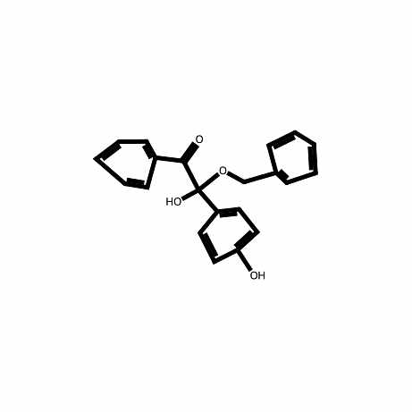 O=C(c1ccccc1)C(O)(OCc1ccccc1)c1ccc(O)cc1